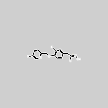 O/N=C(\Cl)Cc1ccc(OCc2ccc(F)cn2)c(F)c1